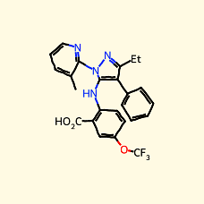 CCc1nn(-c2ncccc2C)c(Nc2ccc(OC(F)(F)F)cc2C(=O)O)c1-c1ccccc1